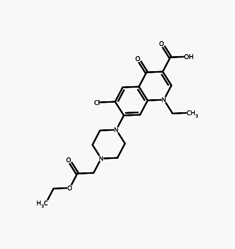 CCOC(=O)CN1CCN(c2cc3c(cc2Cl)c(=O)c(C(=O)O)cn3CC)CC1